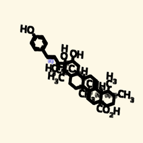 C[C@H]1[C@H](C)CC[C@]2(C(=O)O)CC[C@]3(C)C(=CC[C@@H]4[C@@]5(C)CC(O)[C@@](O)(C(=O)/C=C/c6ccc(O)cc6)C(C)(C)C5CC[C@]43C)[C@H]12